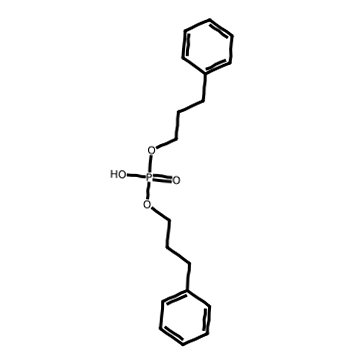 O=P(O)(OCCCc1ccccc1)OCCCc1ccccc1